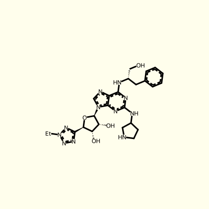 CCn1nnc([C@H]2O[C@@H](n3cnc4c(N[C@H](CO)Cc5ccccc5)nc(NC5CCNC5)nc43)[C@H](O)[C@@H]2O)n1